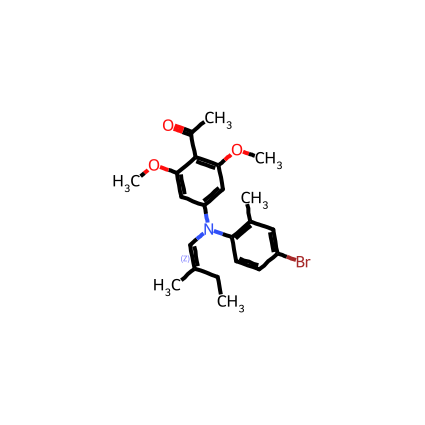 CC/C(C)=C\N(c1cc(OC)c(C(C)=O)c(OC)c1)c1ccc(Br)cc1C